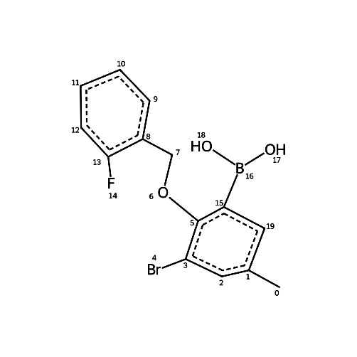 Cc1cc(Br)c(OCc2ccccc2F)c(B(O)O)c1